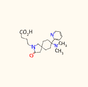 CN(C)C1(c2ccccn2)CCC2(CC1)CC(=O)N(CCCC(=O)O)C2